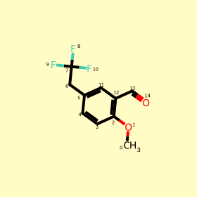 COc1ccc(CC(F)(F)F)cc1C=O